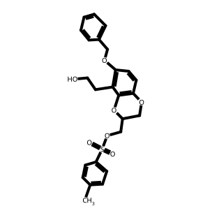 Cc1ccc(S(=O)(=O)OCC2COc3ccc(OCc4ccccc4)c(CCO)c3O2)cc1